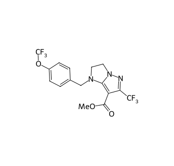 COC(=O)c1c(C(F)(F)F)nn2c1N(Cc1ccc(OC(F)(F)F)cc1)CC2